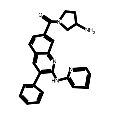 NC1CCN(C(=O)c2ccc3cc(-c4ccccc4)c(Nc4ccccn4)nc3c2)C1